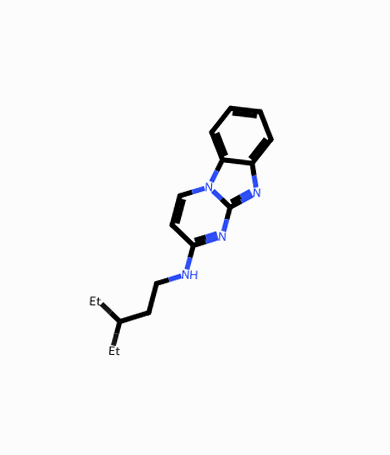 CCC(CC)CCNc1ccn2c(n1)nc1ccccc12